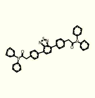 O=C(Cc1ccc(-c2ccc(-c3ccc(CC(=O)N(c4ccccc4)c4ccccc4)cc3)c3nsnc23)cc1)N(c1ccccc1)c1ccccc1